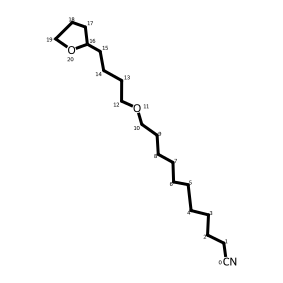 N#CCCCCCCCCCCOCCCCC1CCCO1